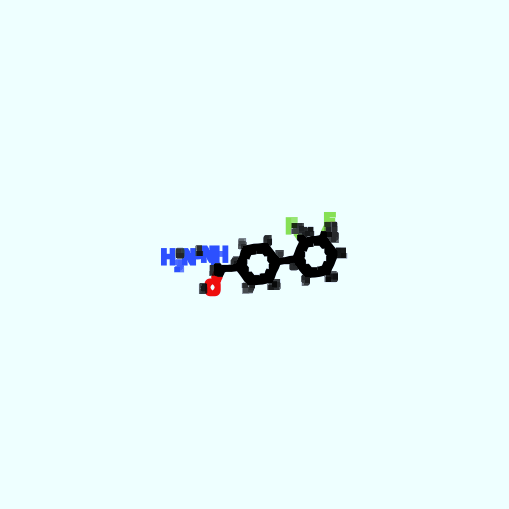 NNC(=O)c1ccc(-c2cccc(F)c2F)cc1